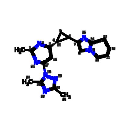 Cc1nc([C@@H]2CC2c2cn3ccccc3n2)cc(-n2nc(C)nc2C)n1